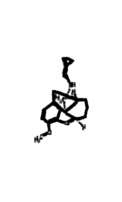 COc1ccc2c3c1O[C@@H]1CCC[C@H]([C@@H](NCC4CC4)C2)[C@]31C